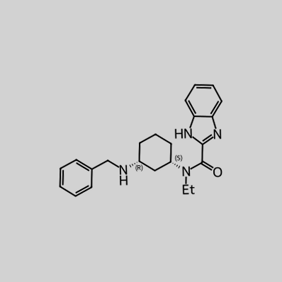 CCN(C(=O)c1nc2ccccc2[nH]1)[C@H]1CCC[C@@H](NCc2ccccc2)C1